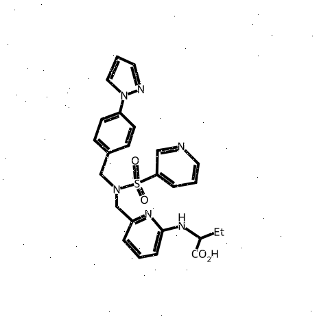 CCC(Nc1cccc(CN(Cc2ccc(-n3cccn3)cc2)S(=O)(=O)c2cccnc2)n1)C(=O)O